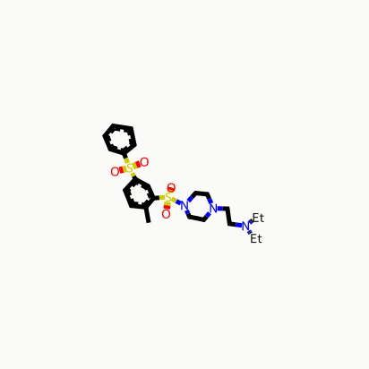 CCN(CC)CCN1CCN(S(=O)(=O)c2cc(S(=O)(=O)c3ccccc3)ccc2C)CC1